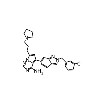 Nc1ncnn2c(CCCN3CCCC3)cc(-c3ccc4cn(Cc5cccc(Cl)c5)nc4c3)c12